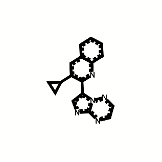 c1ccc2nc(-c3cnc4nccnn34)c(C3CC3)cc2c1